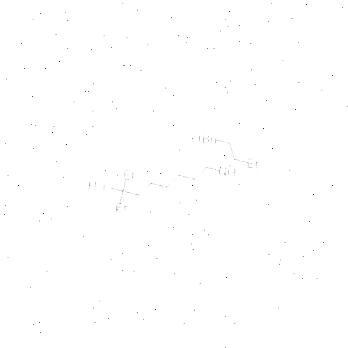 CCC(CC(C)(C)C)NC=CCCCCC(C)(CC)CC